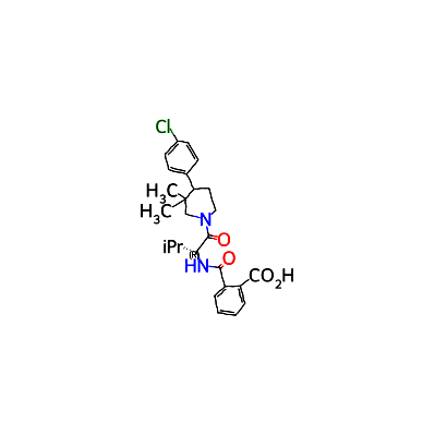 CC(C)[C@@H](NC(=O)c1ccccc1C(=O)O)C(=O)N1CCC(c2ccc(Cl)cc2)C(C)(C)C1